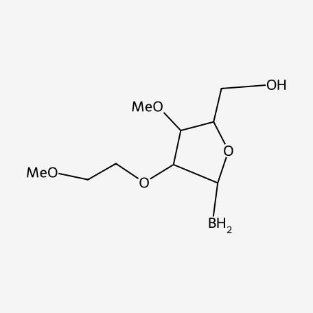 BC1OC(CO)C(OC)C1OCCOC